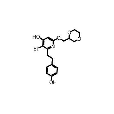 CCc1c(O)cc(OCC2COCCO2)nc1CCc1ccc(O)cc1